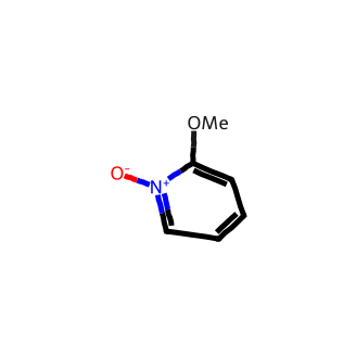 COc1cccc[n+]1[O-]